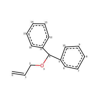 C=CCO[C](c1ccccc1)c1ccccc1